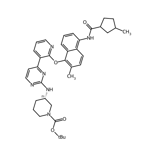 Cc1ccc2c(NC(=O)C3CCC(C)C3)cccc2c1Oc1ncccc1-c1ccnc(N[C@H]2CCCN(C(=O)OC(C)(C)C)C2)n1